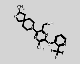 Cc1nc(N2CCC3(CC2)CO[C@@H](C)C3)c(CO)nc1Sc1cccnc1C(F)(F)F